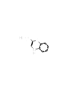 O=C(O)C1=CNc2ccccc2S1